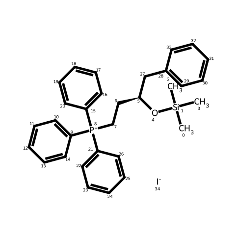 C[Si](C)(C)O[C@@H](CC[P+](c1ccccc1)(c1ccccc1)c1ccccc1)Cc1ccccc1.[I-]